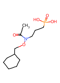 CC(=O)N(CCCP(=O)(O)O)OCC1CCCCC1